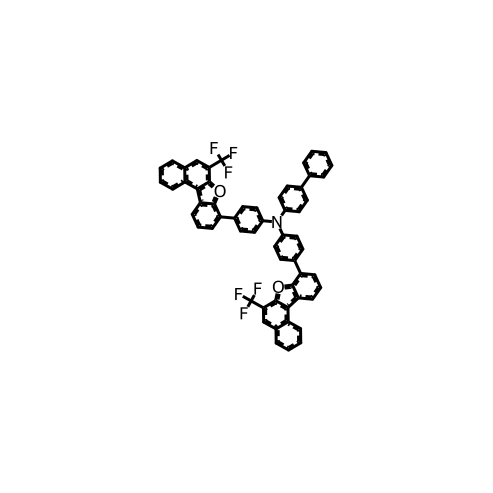 FC(F)(F)c1cc2ccccc2c2c1oc1c(-c3ccc(N(c4ccc(-c5ccccc5)cc4)c4ccc(-c5cccc6c5oc5c(C(F)(F)F)cc7ccccc7c56)cc4)cc3)cccc12